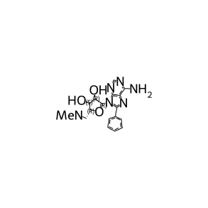 CNC[C@H]1O[C@@H](n2c(-c3ccccc3)nc3c(N)ncnc32)[C@H](O)[C@@H]1O